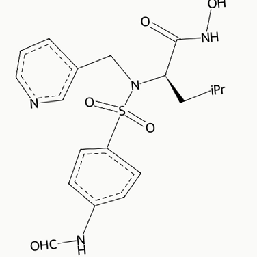 CC(C)C[C@H](C(=O)NO)N(Cc1cccnc1)S(=O)(=O)c1ccc(NC=O)cc1